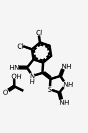 CC(=O)O.N=C1NC(=N)C(=C2NC(=N)c3c2ccc(Cl)c3Cl)S1